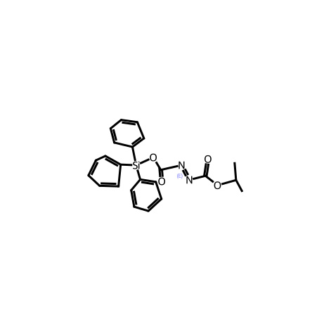 CC(C)OC(=O)/N=N/C(=O)O[Si](c1ccccc1)(c1ccccc1)c1ccccc1